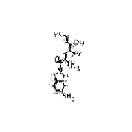 C\C(=C/C(=C(O)\C=C\O)C(C)C)C(=O)N1Cc2ccc(N)cc2C1